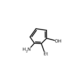 CCc1c(N)cccc1O